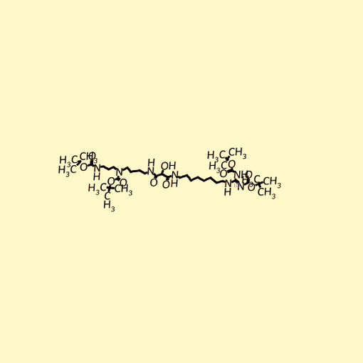 CC(C)(C)OC(=O)/N=C(/NCCCCCCCCNC(=O)C(O)C(=O)NCCCCN(CCCNC(=O)OC(C)(C)C)C(=O)OC(C)(C)C)NC(=O)OC(C)(C)C